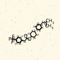 CN(C)Cc1ccc([C@H]2CC[C@H](OC(=O)Cc3ccc(C(F)(F)F)cc3)CC2)cc1